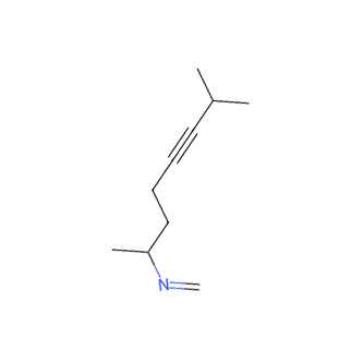 C=NC(C)CCC#CC(C)C